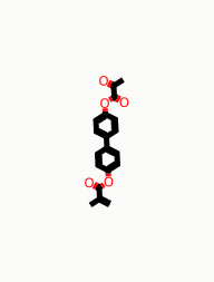 C=C(C)C(=O)Oc1ccc(-c2ccc(OC(=O)C(C)=O)cc2)cc1